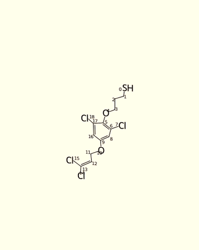 SCCCOc1c(Cl)cc(OCC=C(Cl)Cl)cc1Cl